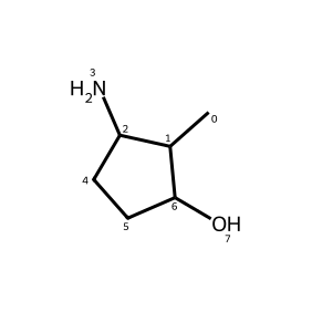 CC1C(N)CCC1O